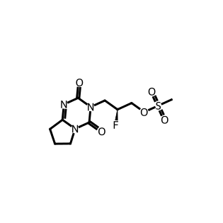 CS(=O)(=O)OC[C@@H](F)Cn1c(=O)nc2n(c1=O)CCC2